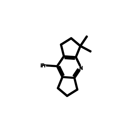 CC(C)c1c2c(nc3c1CCC3(C)C)CCC2